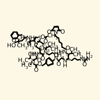 CCCN(C(=O)[C@@H](NC(=O)[C@@H](C(C)C)N(C)C(=O)OCc1ccc(NC(=O)CN[C@H](CCCNC(N)=O)[C@@H](NC(=O)CCCCCN2C(=O)C=CC2=O)C(C)C)cc1)[C@@H](C)CC)[C@H](C[C@@H](OC(C)=O)c1nc(C(=O)N[C@@H](Cc2ccccc2)CC(C)(C)C(=O)O)cs1)C(C)C